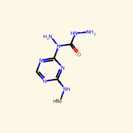 CCCCNc1ncnc(N(N)C(=O)NN)n1